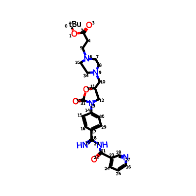 CC(C)(C)OC(=O)CCN1CCN(CC2CN(c3ccc(C(=N)NC(=O)c4cccnc4)cc3)C(=O)O2)CC1